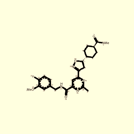 CNC(=O)[C@H]1CC[C@H](C2CC(c3cc(C(=O)NCc4ccc(F)c(OC)c4)nc(C)n3)=NO2)CC1